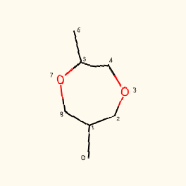 CC1COCC(C)OC1